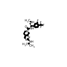 CNC[C@@H](NC(=O)N1CCc2cnc(NC(C)C)nc2C1)c1ccc(C(F)(F)F)c(F)c1